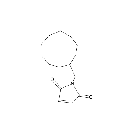 O=C1C=CC(=O)N1CC1CCCCCCCCC1